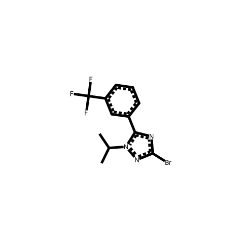 CC(C)n1nc(Br)nc1-c1cccc(C(F)(F)F)c1